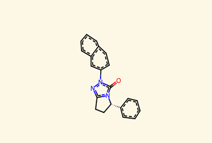 O=c1n(-c2ccc3ccccc3c2)nc2n1[C@H](c1ccccc1)CC2